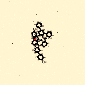 N#Cc1ccc(-c2ccc3c4ccc(-c5ccc(C#N)cc5)cc4n(-c4cccc5c4C(O)N(c4c(-c6ccccc6)cc(-c6ccccc6)cc4-c4ccccc4)C5=O)c3c2)cc1